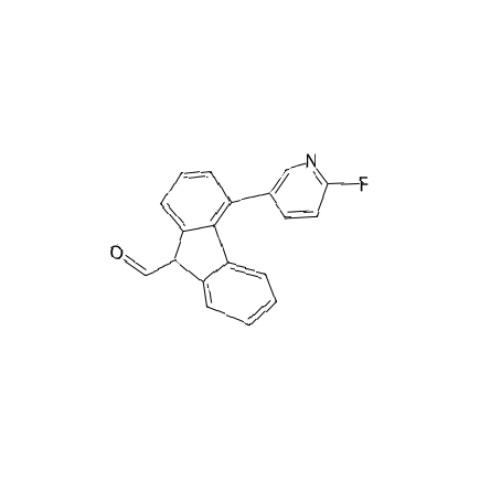 O=CC1c2ccccc2-c2c(-c3ccc(F)nc3)cccc21